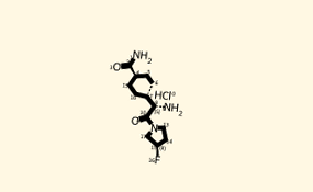 Cl.NC(=O)[C@H]1CC[C@H]([C@H](N)C(=O)N2CC[C@@H](F)C2)CC1